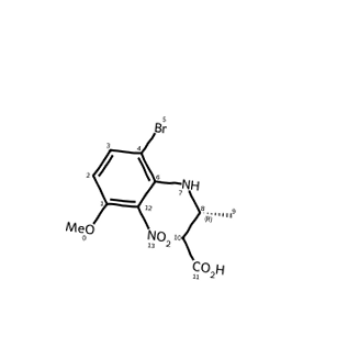 COc1ccc(Br)c(N[C@H](C)CC(=O)O)c1[N+](=O)[O-]